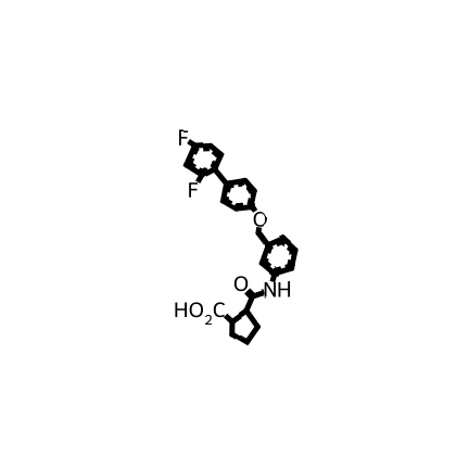 O=C(O)C1CCCC1C(=O)Nc1cccc(COc2ccc(-c3ccc(F)cc3F)cc2)c1